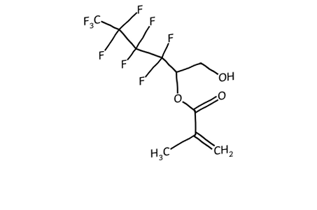 C=C(C)C(=O)OC(CO)C(F)(F)C(F)(F)C(F)(F)C(F)(F)F